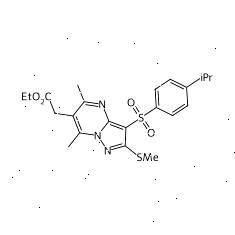 CCOC(=O)Cc1c(C)nc2c(S(=O)(=O)c3ccc(C(C)C)cc3)c(SC)nn2c1C